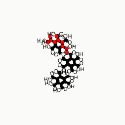 C=CC(=O)OC(C)CCCOC(=O)c1c(C(=O)O)c(C(=O)O)c(C(=O)O)c(C(=O)OC(=O)c2c(C(=O)O)c(C(=O)O)c(C(=O)O)c(C(=O)O)c2C(=O)O)c1C(=O)OC(=O)c1c(C(=O)O)c(C(=O)O)c(C(=O)O)c(C(=O)O)c1C(=O)O